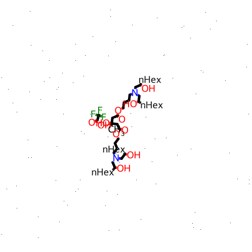 CCCCCCC(O)CN(CCCCOC(=O)CC(C)(O)CC(=O)OCCCCN(CC(O)CCCCCC)CC(O)CCCCCC)CC(O)CCCCCC.O=C(O)C(F)(F)F